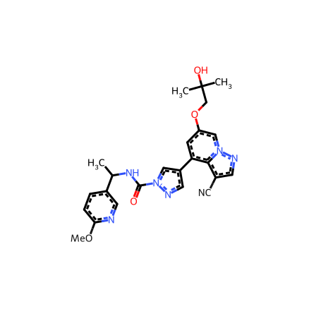 COc1ccc(C(C)NC(=O)n2cc(-c3cc(OCC(C)(C)O)cn4ncc(C#N)c34)cn2)cn1